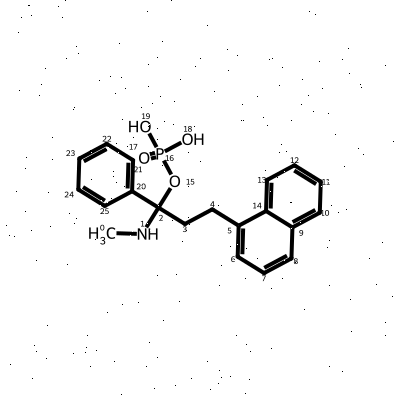 CNC(CCc1cccc2ccccc12)(OP(=O)(O)O)c1ccccc1